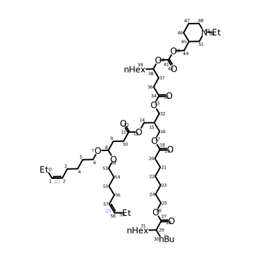 CC/C=C\CCCCOC(CCC(=O)OCC(COC(=O)CCCCCCOC(=O)C(CCCC)CCCCCC)COC(=O)CCC(CCCCCC)OC(=O)OCC1CCCN(CC)C1)OCCCC/C=C\CC